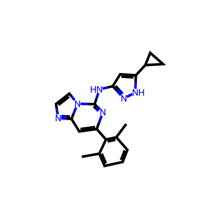 Cc1cccc(C)c1-c1cc2nccn2c(Nc2cc(C3CC3)[nH]n2)n1